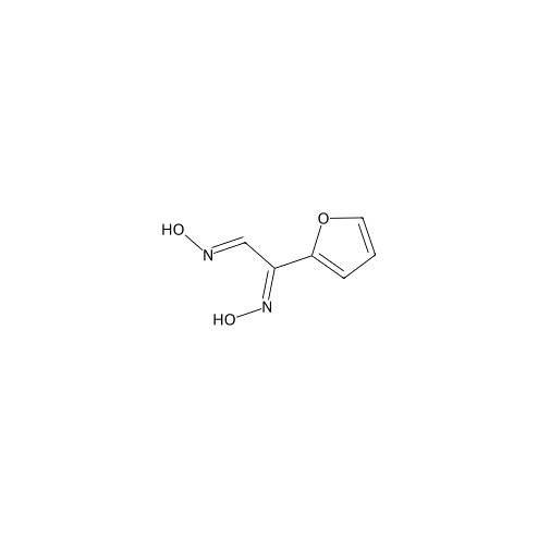 ON=CC(=NO)c1ccco1